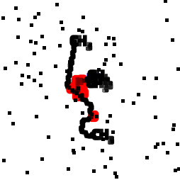 CC/C=C\C/C=C\C/C=C\CC1OC1C/C=C\CCCC(=O)OC(CO/C=C\CCCCCCCCCCCCCC)COP(=O)([O-])OCC[N+](C)(C)C